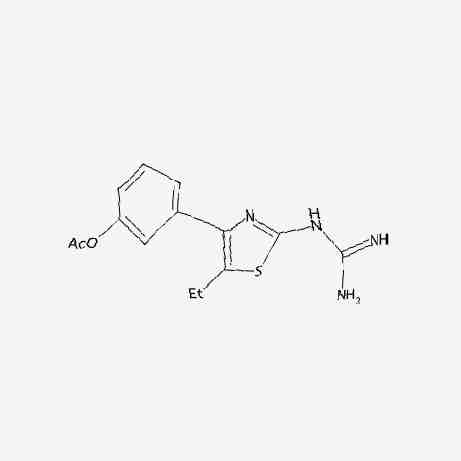 CCc1sc(NC(=N)N)nc1-c1cccc(OC(C)=O)c1